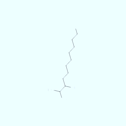 CCCCCCCCC(O)C(O)CCCCCCCCBr